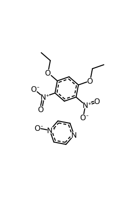 CCOc1cc(OCC)c([N+](=O)[O-])cc1[N+](=O)[O-].[O-][n+]1ccncc1